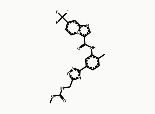 COC(=O)NCc1nc(-c2ccc(C)c(NC(=O)c3cnc4cc(C(F)(F)F)ccn34)c2)no1